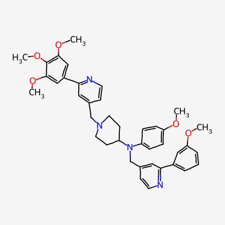 COc1ccc(N(Cc2ccnc(-c3cccc(OC)c3)c2)C2CCN(Cc3ccnc(-c4cc(OC)c(OC)c(OC)c4)c3)CC2)cc1